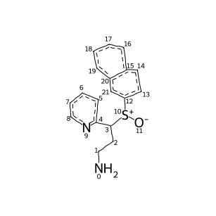 NCCC(c1ccccn1)[S+]([O-])c1ccc2ccccc2c1